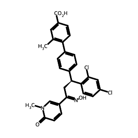 Cc1cc(C(=O)O)ccc1-c1ccc([C@H](C/C(=N\O)c2ccc(=O)n(C)c2)c2ccc(Cl)cc2Cl)cc1